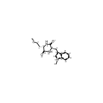 CSCC[C@@H]1NC(=O)[C@@H](Cc2cn(C)c3ccccc23)NC1=O